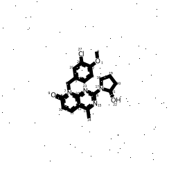 COc1ccc(Cn2c(=O)ccc3c(C)nc(N4CCCC4O)nc32)cc1Cl